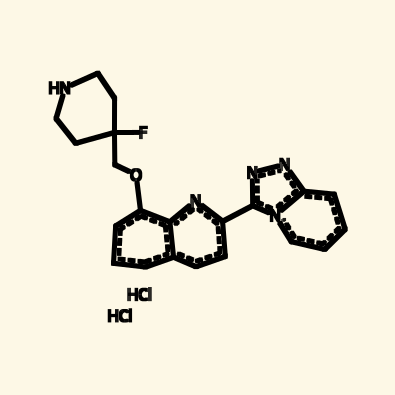 Cl.Cl.FC1(COc2cccc3ccc(-c4nnc5ccccn45)nc23)CCNCC1